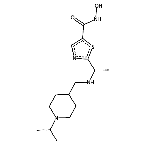 CC(C)N1CCC(CN[C@@H](C)c2ncc(C(=O)NO)s2)CC1